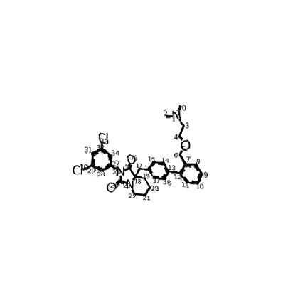 CN(C)CCOCc1ccccc1-c1ccc(CC23CCCCN2C(=O)N(c2cc(Cl)cc(Cl)c2)C3=O)cc1